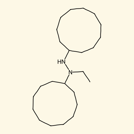 CCN(NC1CCCCCCCCCC1)C1CCCCCCCCCC1